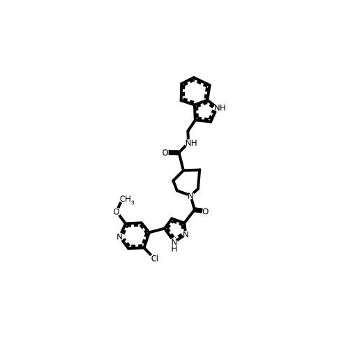 COc1cc(-c2cc(C(=O)N3CCC(C(=O)NCc4c[nH]c5ccccc45)CC3)n[nH]2)c(Cl)cn1